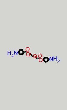 Nc1ccc(OC(=O)COCCOC(=O)c2ccc(N)cc2)cc1